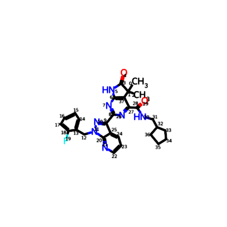 CC1(C)C(=O)Nc2nc(-c3nn(Cc4ccccc4F)c4ncccc34)nc(C(=O)NCC3CCCC3)c21